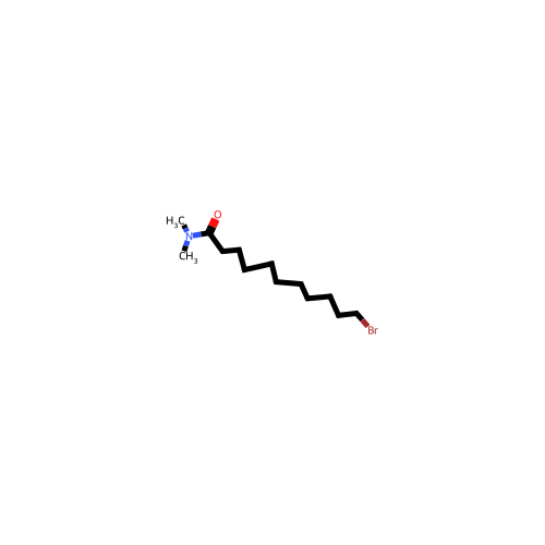 CN(C)C(=O)CCCCCCCCCCBr